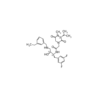 CCc1cccc(CNC[C@H](O)[C@H](Cc2cc(F)cc(F)c2)NC(=O)CN2CC(=O)N(C)[C@@H](C(C)C)C2=O)c1